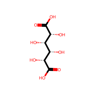 O=C(O)[C@H](O)[C@@H](O)[C@H](O)[C@@H](O)C(=O)O